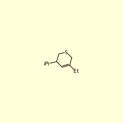 CCC1=CC(C(C)C)CSC1